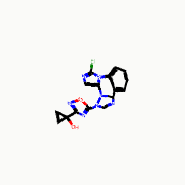 OC1(c2noc(N3C=NC4c5ccccc5-n5c(cnc5Cl)N43)n2)CC1